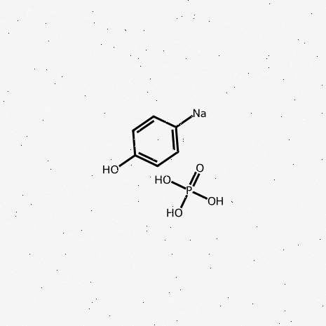 O=P(O)(O)O.Oc1cc[c]([Na])cc1